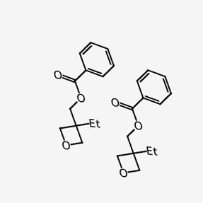 CCC1(COC(=O)c2ccccc2)COC1.CCC1(COC(=O)c2ccccc2)COC1